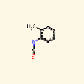 Cc1cc[c]cc1N=C=O